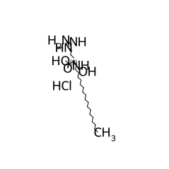 CCCCCCCCCCCCCCCCC(O)CN[C@@H](CCCNC(=N)N)C(=O)O.Cl